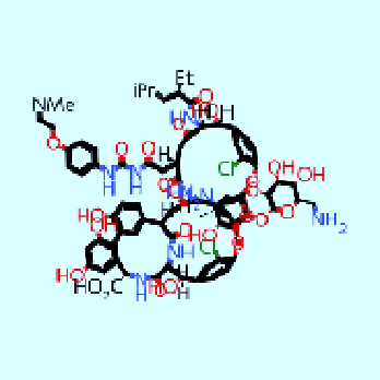 CC[C@H](CC(C)C)C(=O)N[C@H]1C(=O)C[C@@H](CC(=O)NC(=O)Nc2ccc(OCCNC)cc2)C(=O)N[C@H]2C(=O)C[C@H]3C(=O)N[C@H](C(=O)N[C@H](C(=O)O)c4cc(O)cc(O)c4-c4cc3ccc4O)[C@H](O)c3ccc(c(Cl)c3)Oc3cc2cc(c3O[C@@H]2O[C@H](CN)[C@@H](O)[C@H](O)[C@H]2O[C@H]2C[C@](C)(N)[C@H](O)[C@H](C)O2)Oc2ccc(cc2Cl)[C@H]1O